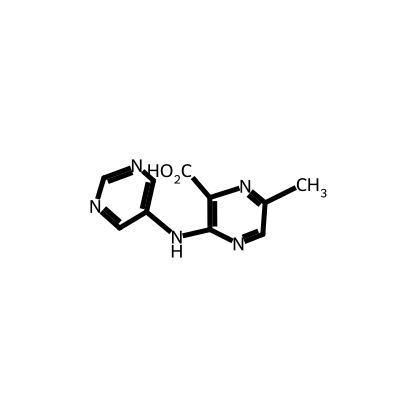 Cc1cnc(Nc2cncnc2)c(C(=O)O)n1